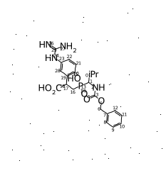 CC(C)C(NC(=O)OCc1ccccc1)P(=O)(O)CC(C(=O)O)c1cccc(NC(=N)N)c1